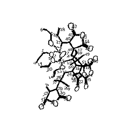 CCO[Si](OCC)(O[Si](OCC)(OCC)C(CC)C1C(=O)OC(=O)C1CC(C)(C)C1C(=O)OC(=O)C1C)C(CC)C1C(=O)OC(=O)C1CC(C)(C)C1C(=O)OC(=O)C1C